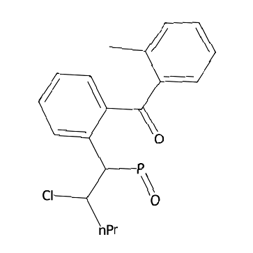 CCCC(Cl)C(P=O)c1ccccc1C(=O)c1ccccc1C